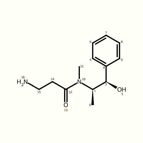 C[C@H]([C@H](O)c1ccccc1)N(C)C(=O)CCN